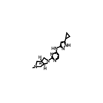 CN1C[C@@H]2CN(c3nccc(Nc4cc(C5CC5)[nH]n4)n3)C[C@H]2C1